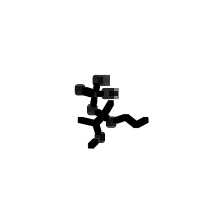 CCCOC(C)(OP(=O)(O)O)C(C)OC